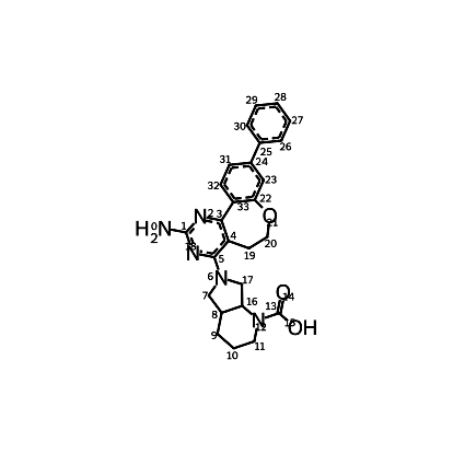 Nc1nc2c(c(N3CC4CCCN(C(=O)O)C4C3)n1)CCOc1cc(-c3ccccc3)ccc1-2